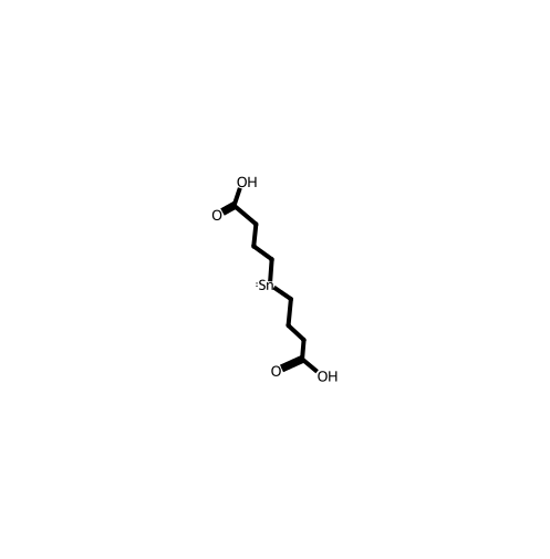 O=C(O)CC[CH2][Sn][CH2]CCC(=O)O